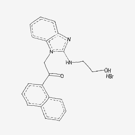 Br.O=C(Cn1c(NCCO)nc2ccccc21)c1cccc2ccccc12